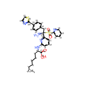 CCCCCCC(Nc1cccc(C(N)(Cc2ccc(-c3nccs3)cc2)S(=O)(=O)c2ccccn2)n1)C(=O)O